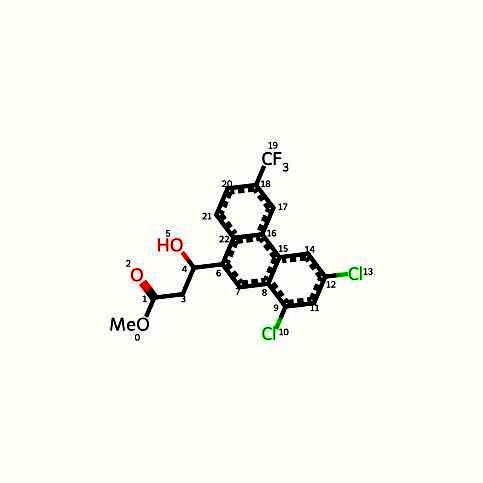 COC(=O)CC(O)c1cc2c(Cl)cc(Cl)cc2c2cc(C(F)(F)F)ccc12